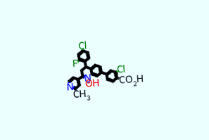 Cc1cc(C(CC(c2ccc(-c3ccc(C(=O)O)c(Cl)c3)cc2)c2ccc(Cl)cc2F)=NO)ccn1